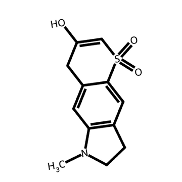 CN1CCc2cc3c(cc21)CC(O)=CS3(=O)=O